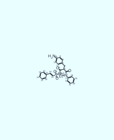 CCN(C(=O)C(Cc1ccc(N)cc1)C(=O)NS(=O)(=O)/C=C/c1ccccc1)c1ccccc1